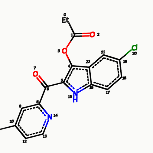 CCC(=O)Oc1c(C(=O)c2cc(CC)ccn2)[nH]c2ccc(Cl)cc12